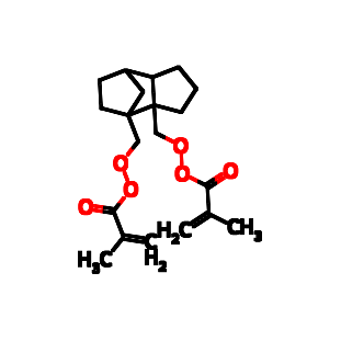 C=C(C)C(=O)OOCC12CCC(C1)C1CCCC12COOC(=O)C(=C)C